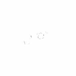 O=[N+]([O-])c1ccc(OC2=CC3CC4C=CC=CC24C3)nc1